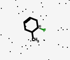 CC1CC=CC[C@@H]1F